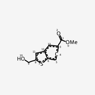 COC(=O)c1ccc2sc(CO)cc2c1